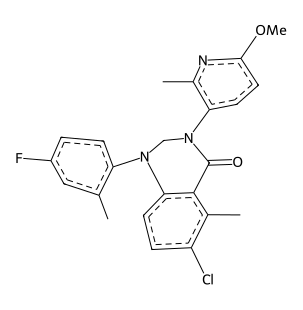 COc1ccc(N2CN(c3ccc(F)cc3C)c3ccc(Cl)c(C)c3C2=O)c(C)n1